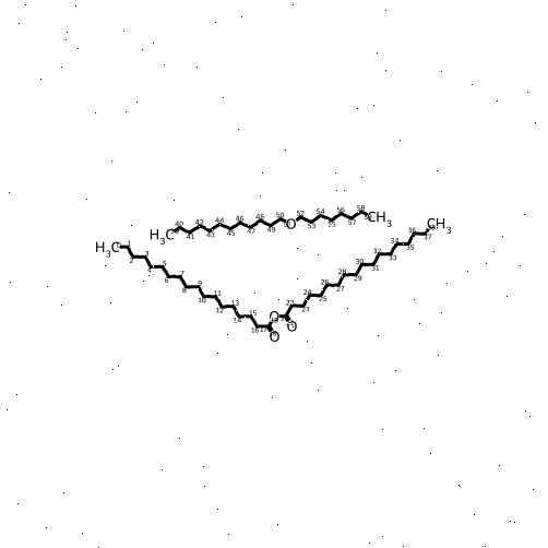 CCCCCCCCCCCCCCCCCC(=O)OC(=O)CCCCCCCCCCCCCCCCC.CCCCCCCCCCCCOCCCCCCCC